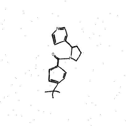 CC(C)(C)c1ccc(C(=O)N2CCCC2c2ccncc2)cc1